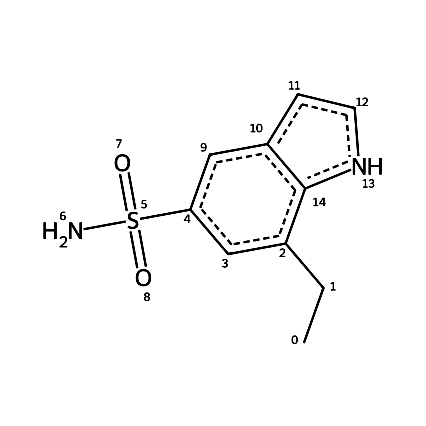 CCc1cc(S(N)(=O)=O)cc2cc[nH]c12